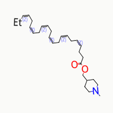 CC/C=C\C/C=C\C/C=C\C/C=C\C/C=C\C/C=C\CCC(=O)OCC1CCN(C)CC1